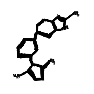 Cc1nc2ccc(-c3cccc(-n4c(C)ccc4C)c3)cc2[nH]1